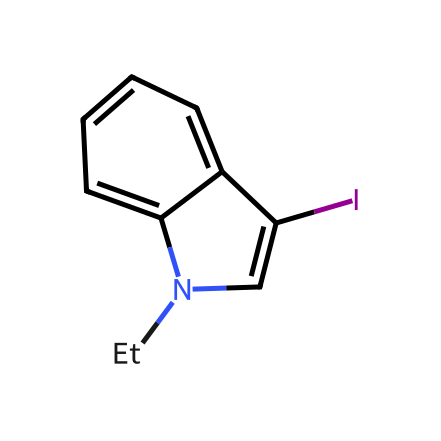 CCn1cc(I)c2ccccc21